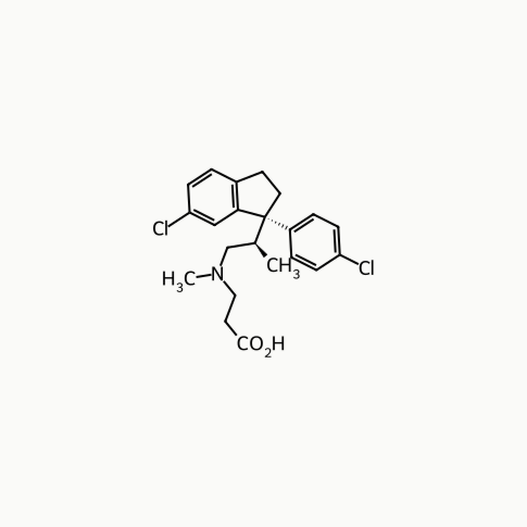 C[C@@H](CN(C)CCC(=O)O)[C@]1(c2ccc(Cl)cc2)CCc2ccc(Cl)cc21